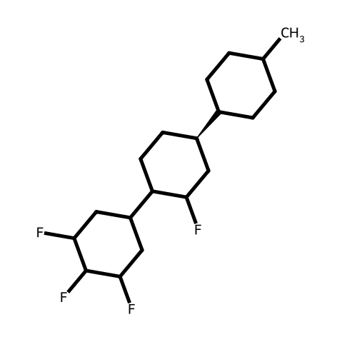 CC1CCC([C@@H]2CCC(C3CC(F)C(F)C(F)C3)C(F)C2)CC1